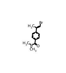 C/C(=C\Br)c1ccc(C(=O)N(C)C)cc1